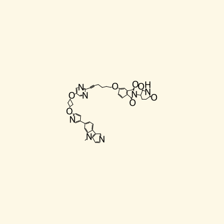 Cn1c2ccncc2c2ccc(-c3ccc(OC4CC(Oc5cnc(C#CCCCCOc6ccc7c(c6)C(=O)N(C6CCC(=O)NC6=O)C7=O)nc5)C4)nc3)cc21